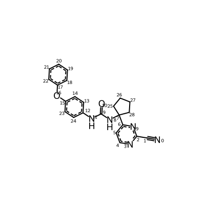 N#Cc1nccc(C2(NC(=O)Nc3ccc(Oc4ccccc4)cc3)CCCC2)n1